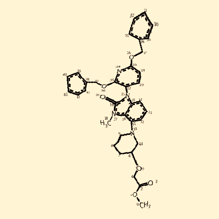 COC(=O)COC1CCCN(c2cccc3c2n(C)c(=O)n3-c2ccc(OCc3ccccc3)nc2OCc2ccccc2)C1